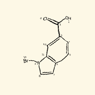 O=C(O)c1ccc2ccn(Br)c2c1